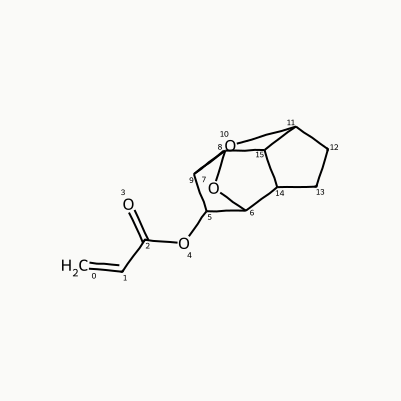 C=CC(=O)OC1C2OC3C1OC1CCC2C13